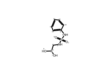 O=S(=O)(NCB(O)O)Nc1ccccc1